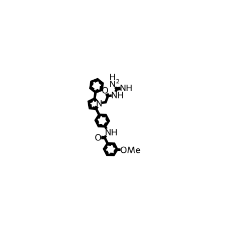 COc1cccc(C(=O)Nc2ccc(-c3ccc(-c4ccccc4)n3CC(=O)NC(=N)N)cc2)c1